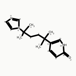 CC(C)(CCC(C)(C)n1ccnc1)c1ccc(=O)[nH]c1